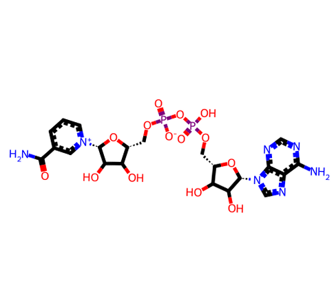 NC(=O)c1ccc[n+]([C@@H]2O[C@H](COP(=O)([O-])OP(=O)(O)OC[C@@H]3O[C@H](n4cnc5c(N)ncnc54)C(O)C3O)C(O)C2O)c1